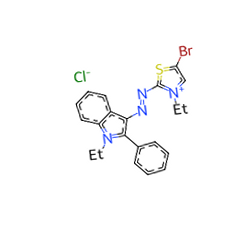 CCn1c(-c2ccccc2)c(N=Nc2sc(Br)c[n+]2CC)c2ccccc21.[Cl-]